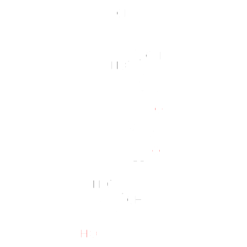 Cc1ccc(C(C)(C)c2ccc(Oc3cccc(Oc4ccc(C(C)(C)c5ccc(O)cc5)cc4)c3)cc2)cc1